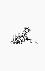 C/C=C/O[C@@H]1OC(OC=O)[C@@H](O)[C@H](C)C1OCc1ccccc1